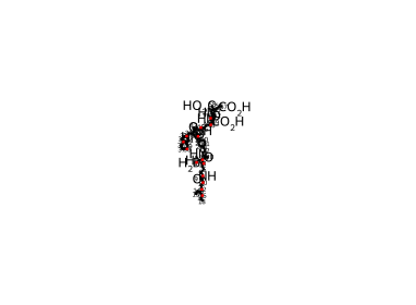 BNC(CCCCNC(=O)CCC/C(C=C)=C/C=C)C(=O)NCC1CCC(C(=O)NC(Cc2ccc3ccccc3c2)C(=O)NCCCCC(NC(=O)NC(CCC(=O)O)C(=O)O)C(=O)O)CC1